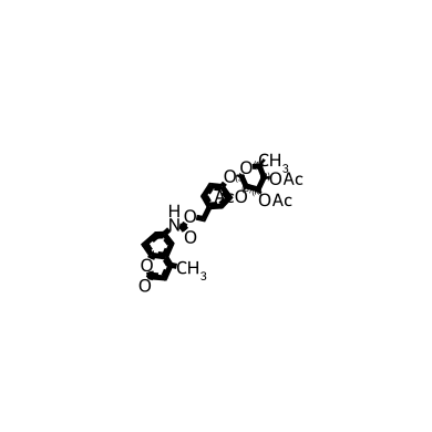 CC(=O)O[C@H]1[C@H](OC(C)=O)[C@H](Oc2ccc(COC(=O)Nc3ccc4oc(=O)cc(C)c4c3)cc2)O[C@@H](C)[C@H]1OC(C)=O